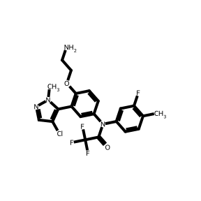 Cc1ccc(N(C(=O)C(F)(F)F)c2ccc(OCCN)c(-c3c(Cl)cnn3C)c2)cc1F